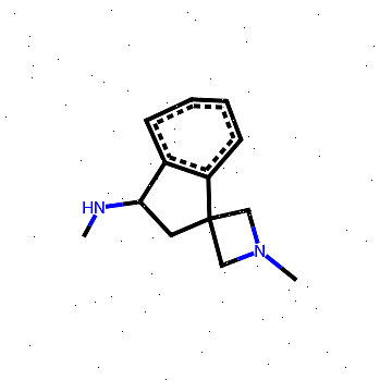 CNC1CC2(CN(C)C2)c2ccccc21